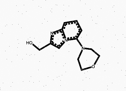 OCc1cn2c(N3CCOCC3)cccc2n1